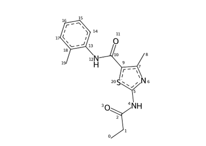 CCC(=O)Nc1nc(C)c(C(=O)Nc2ccccc2C)s1